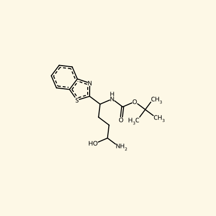 CC(C)(C)OC(=O)NC(CCC(N)O)c1nc2ccccc2s1